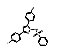 O=S(=O)(Nn1nc(-c2ccc(Br)cc2)cc1-c1ccc(Cl)cc1)c1ccccc1